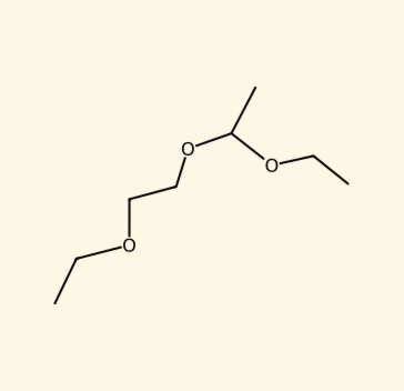 CCOCCOC(C)OCC